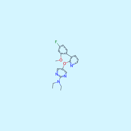 CCN(CC)c1ncc(Oc2ncccc2-c2ccc(F)cc2OC)cn1